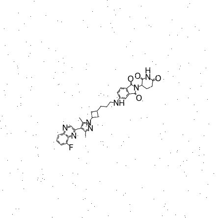 Cc1nn(C2CC(CCCNc3ccc4c(c3)C(=O)N(C3CCC(=O)NC3=O)C4=O)C2)c(C)c1-c1cnc2cccc(F)c2n1